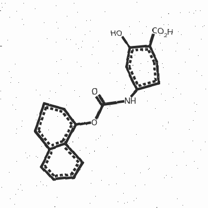 O=C(Nc1ccc(C(=O)O)c(O)c1)Oc1cccc2ccccc12